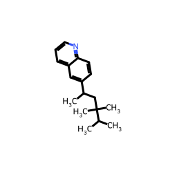 CC(CC(C)(C)C(C)C)c1ccc2ncccc2c1